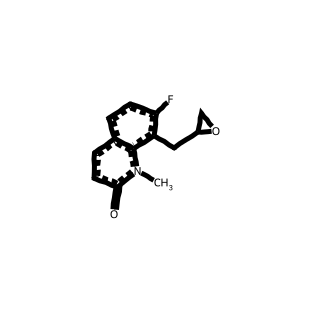 Cn1c(=O)ccc2ccc(F)c(CC3CO3)c21